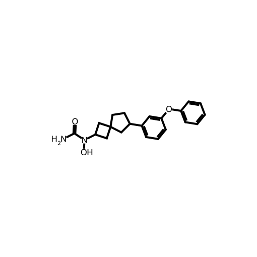 NC(=O)N(O)C1CC2(CCC(c3cccc(Oc4ccccc4)c3)C2)C1